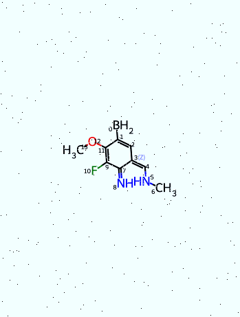 BC1=C/C(=C/NC)C(=N)C(F)=C1OC